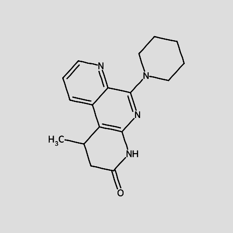 CC1CC(=O)Nc2nc(N3CCCCC3)c3ncccc3c21